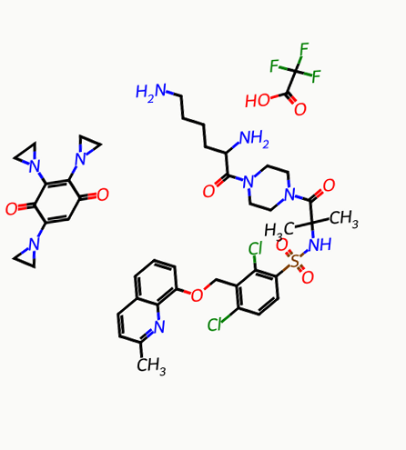 Cc1ccc2cccc(OCc3c(Cl)ccc(S(=O)(=O)NC(C)(C)C(=O)N4CCN(C(=O)C(N)CCCCN)CC4)c3Cl)c2n1.O=C(O)C(F)(F)F.O=C1C=C(N2CC2)C(=O)C(N2CC2)=C1N1CC1